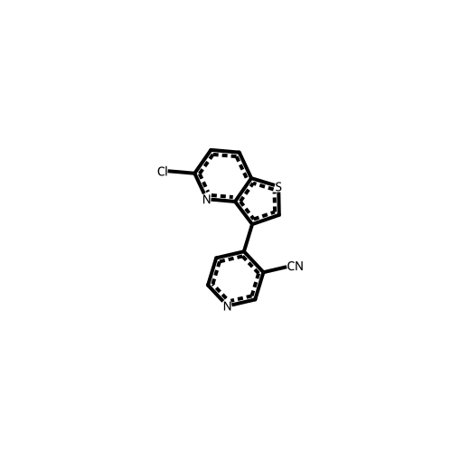 N#Cc1cnccc1-c1csc2ccc(Cl)nc12